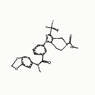 CNC(=O)N1CCc2c(c(C(F)(F)F)nn2-c2cccc(C(=O)N(C)c3ccc4c(c3)OCO4)c2)C1